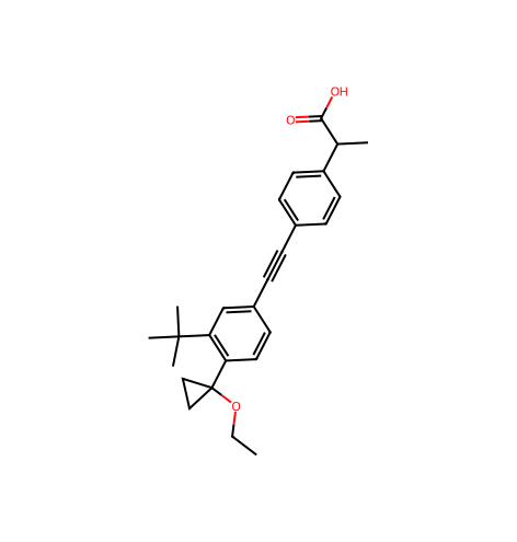 CCOC1(c2ccc(C#Cc3ccc(C(C)C(=O)O)cc3)cc2C(C)(C)C)CC1